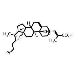 C/C(=C\[C@H]1CC[C@@]2(C)C(=CC[C@H]3[C@@H]4CC[C@H]([C@H](C)CCCC(C)C)[C@@]4(C)CC[C@@H]32)C1)C(=O)O